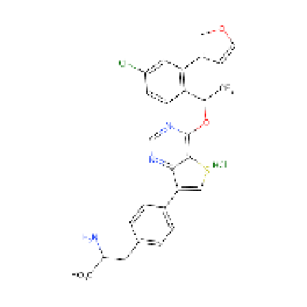 Cl.NC(Cc1ccc(-c2csc3c(OC(c4ccc(Cl)cc4-c4ccoc4)C(F)(F)F)ncnc23)cc1)C(=O)O